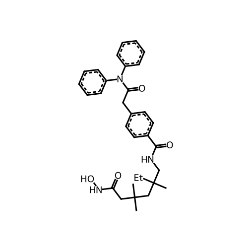 CCC(C)(CNC(=O)c1ccc(CC(=O)N(c2ccccc2)c2ccccc2)cc1)CC(C)(C)CC(=O)NO